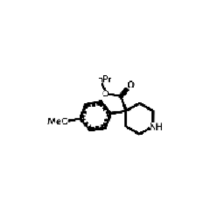 CCCOC(=O)C1(c2ccc(OC)cc2)CCNCC1